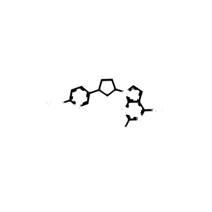 COc1ccc(C2CCC(n3ccc4c(N)nc(Cl)nc43)C2)cn1